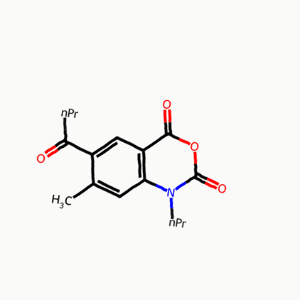 CCCC(=O)c1cc2c(=O)oc(=O)n(CCC)c2cc1C